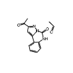 CC(=O)c1cc2c3ccccc3[nH]c(=O)n2n1.CC=O